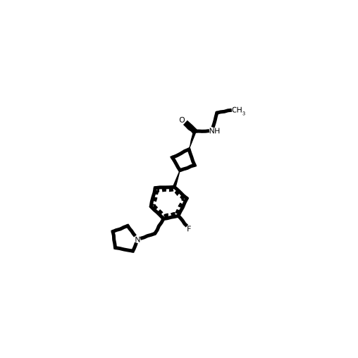 CCNC(=O)[C@H]1C[C@@H](c2ccc(CN3CCCC3)c(F)c2)C1